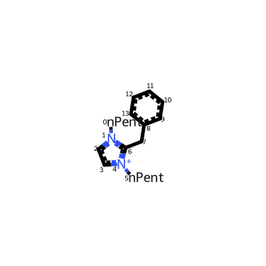 CCCCCn1cc[n+](CCCCC)c1Cc1ccccc1